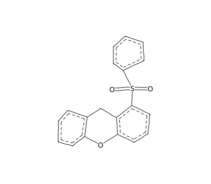 O=S(=O)(c1ccccc1)c1cccc2c1Cc1ccccc1O2